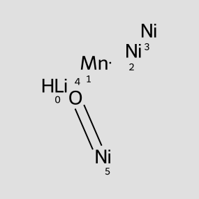 [LiH].[Mn].[Ni].[Ni].[O]=[Ni]